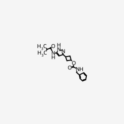 CC(C)C(=O)Nc1cc(C2CC(OC(=O)NCc3ccccc3)C2)n[nH]1